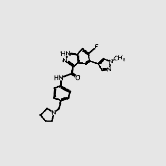 Cn1cc(-c2cc3c(C(=O)Nc4ccc(CN5CCCC5)cc4)n[nH]c3cc2F)cn1